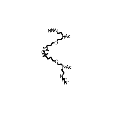 CC(=O)N(CCN=[N+]=[N-])CCOCCC[Si](C)(C)O[Si](C)(C)CCCOCCN(CCN=[N+]=[N-])C(C)=O